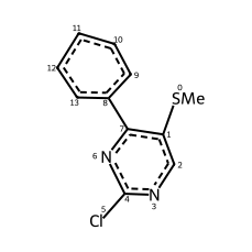 CSc1cnc(Cl)nc1-c1ccccc1